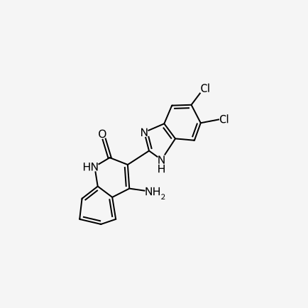 Nc1c(-c2nc3cc(Cl)c(Cl)cc3[nH]2)c(=O)[nH]c2ccccc12